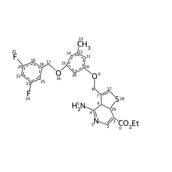 CCOC(=O)C1=CN=C(N)C2C(COc3cc(C)cc(OCc4cc(F)cc(F)c4)c3)=CSC12